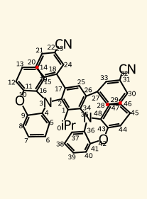 CC(C)c1c(N2c3ccccc3Oc3ccccc32)c(-c2cccc(C#N)c2)cc(-c2cccc(C#N)c2)c1N1c2ccccc2Oc2ccccc21